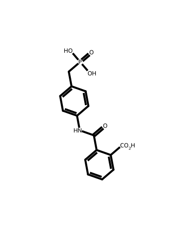 O=C(O)c1ccccc1C(=O)Nc1ccc(CP(=O)(O)O)cc1